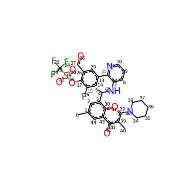 Cc1cc(C(C)Nc2cccnc2-c2cc(F)c(OS(=O)(=O)C(F)(F)F)c(C=O)c2)c2oc(N3CCCCC3)c(C)c(=O)c2c1